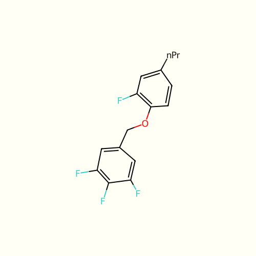 CCCc1ccc(OCc2cc(F)c(F)c(F)c2)c(F)c1